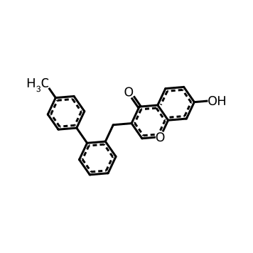 Cc1ccc(-c2ccccc2Cc2coc3cc(O)ccc3c2=O)cc1